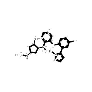 CC(C)n1nccc1-c1cc(F)ccc1Oc1cncnc1N(C)[C@H]1C[C@@H](NC(=O)O)C[C@H]1O